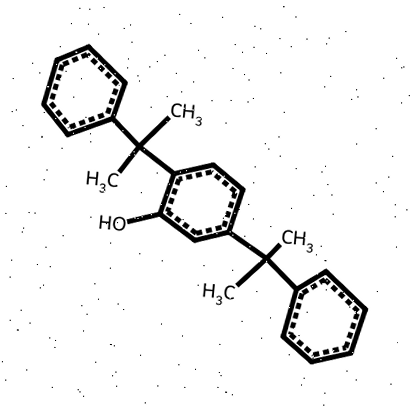 CC(C)(c1ccccc1)c1ccc(C(C)(C)c2ccccc2)c(O)c1